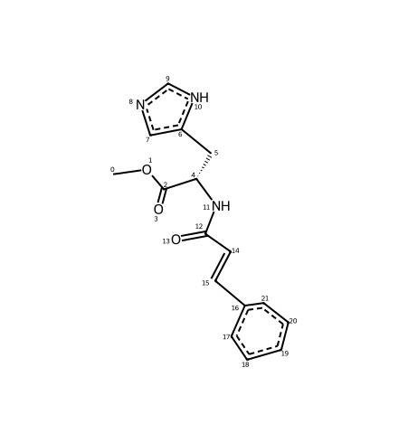 COC(=O)[C@H](Cc1cnc[nH]1)NC(=O)/C=C/c1ccccc1